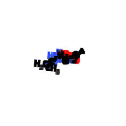 CN(C)c1ccc(-c2nc3c(-c4cccc(N5CCOc6cc(C7CC7)ccc6C5=O)c4CO)ccnc3[nH]2)nc1